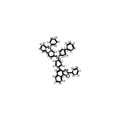 c1ccc(-c2ccc(N(c3ccc(-c4cc5ccccc5c5oc(-c6ccccc6)nc45)cc3)c3ccc4c5ccccc5n(-c5ccccc5)c4c3)cc2)cc1